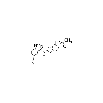 CC(=O)Nc1ccc2c(c1)C[C@@H](Nc1ncnc3ccc(C#N)cc13)C2